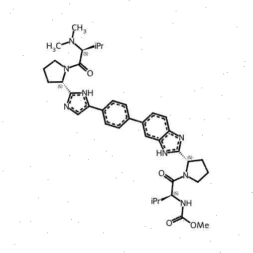 COC(=O)N[C@H](C(=O)N1CCC[C@H]1c1nc2ccc(-c3ccc(-c4cnc([C@@H]5CCCN5C(=O)[C@H](C(C)C)N(C)C)[nH]4)cc3)cc2[nH]1)C(C)C